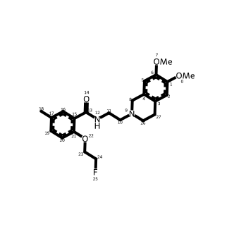 COc1cc2c(cc1OC)CN(CCNC(=O)c1cc(C)ccc1OCCF)CC2